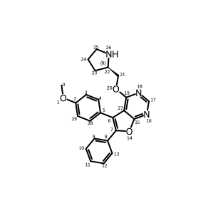 COc1ccc(-c2c(-c3ccccc3)oc3ncnc(OC[C@H]4CCCN4)c23)cc1